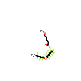 CC(C)OCCCCC(=O)NSC(F)(F)C(F)(F)C(F)(F)C(F)(F)OC(F)(F)C(F)(F)C(F)(F)C(F)(F)F